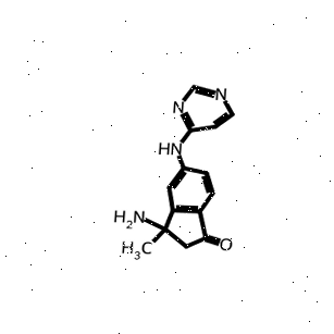 CC1(N)CC(=O)c2ccc(Nc3ccncn3)cc21